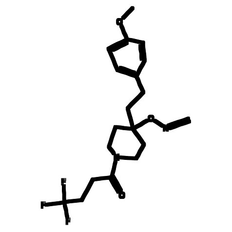 C=NOC1(CCc2ccc(OC)cc2)CCN(C(=O)CCC(F)(F)F)CC1